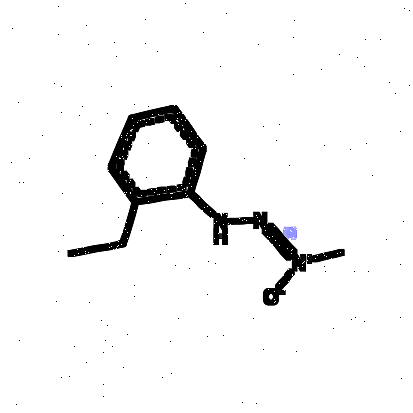 CCc1ccccc1N/N=[N+](/C)[O-]